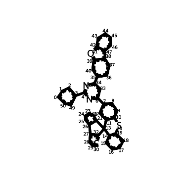 c1ccc(-c2nc(-c3ccc4c(c3)C3(c5ccccc5S4)c4ccccc4-c4ccccc43)cc(-c3ccc4c(c3)oc3ccccc34)n2)cc1